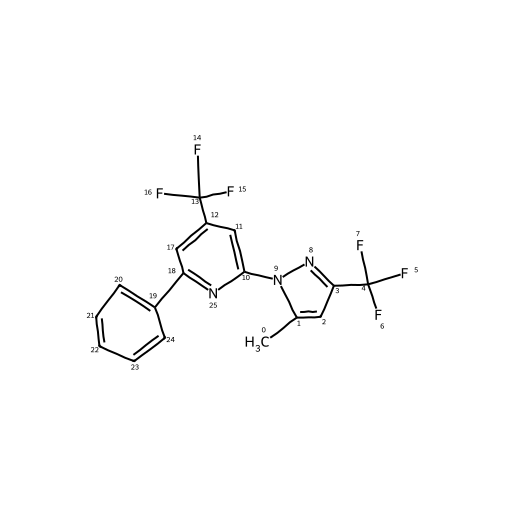 Cc1cc(C(F)(F)F)nn1-c1cc(C(F)(F)F)cc(-c2ccccc2)n1